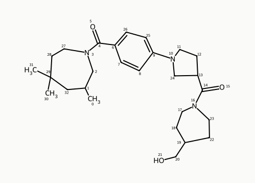 CC1CN(C(=O)c2ccc(N3CCC(C(=O)N4CCC(CO)CC4)C3)cc2)CCC(C)(C)C1